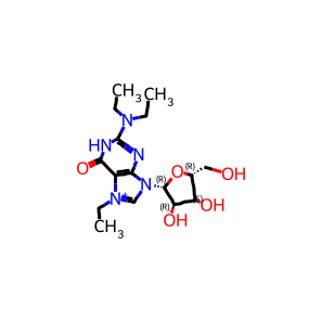 CCN(CC)c1nc2c(c(=O)[nH]1)[n+](CC)cn2[C@@H]1O[C@H](CO)[C@@H](O)[C@H]1O